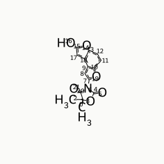 CC1(C)OC(=O)N(c2cc3c(ccc4oc(O)cc43)o2)C1=O